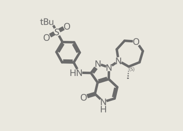 C[C@H]1CCOCCN1n1nc(Nc2ccc(S(=O)(=O)C(C)(C)C)cc2)c2c(=O)[nH]ccc21